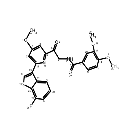 COc1cc(C(=O)CNC(=O)c2ccc(OC)c(OC)c2)nc(-c2csc3c(F)cccc23)c1